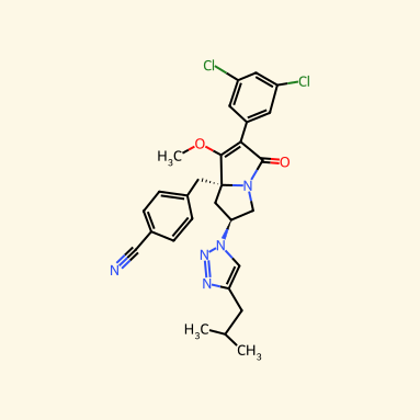 COC1=C(c2cc(Cl)cc(Cl)c2)C(=O)N2C[C@@H](n3cc(CC(C)C)nn3)C[C@@]12Cc1ccc(C#N)cc1